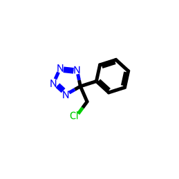 ClCC1(c2ccccc2)N=NN=N1